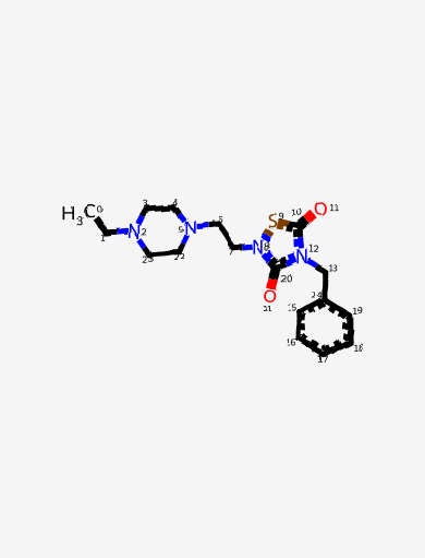 CCN1CCN(CCn2sc(=O)n(Cc3ccccc3)c2=O)CC1